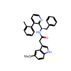 COc1ccc2[nH]cc(CC(=O)N[C@H](Cc3ccccc3)c3ncccc3-c3ccccc3C)c2c1